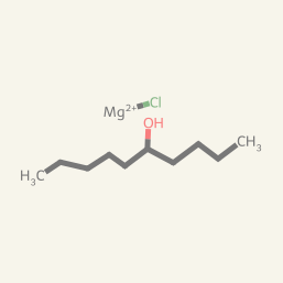 CCCCCC(O)CCCC.[Mg+2][Cl]